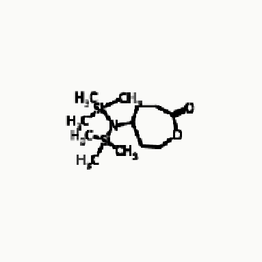 C[Si](C)(C)N(C1CCOC(=O)CC1)[Si](C)(C)C